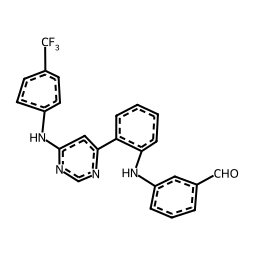 O=Cc1cccc(Nc2ccccc2-c2cc(Nc3ccc(C(F)(F)F)cc3)ncn2)c1